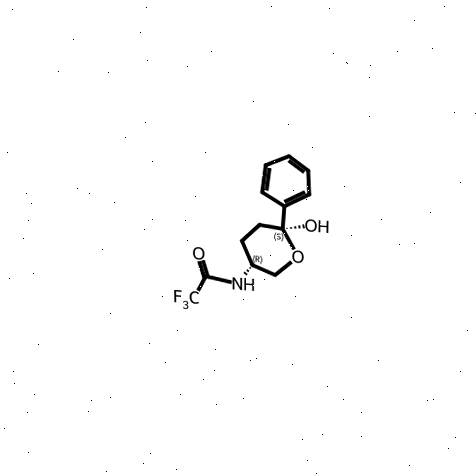 O=C(N[C@@H]1CC[C@@](O)(c2ccccc2)OC1)C(F)(F)F